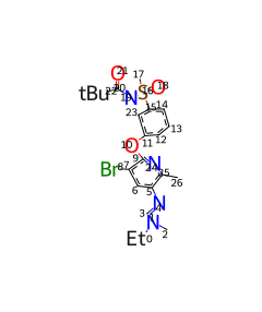 CCN(C)C=Nc1cc(Br)c(Oc2cccc(S(C)(=O)=NC(=O)C(C)(C)C)c2)nc1C